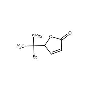 CCCCCCC(C)(CC)C1C=CC(=O)O1